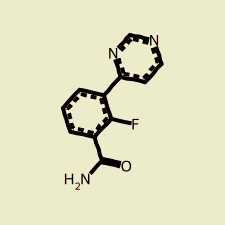 NC(=O)c1cccc(-c2ccncn2)c1F